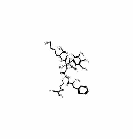 Bc1c(B)c(B)c(C(B)(B)[C@](B)(NC(=O)[C@@H](CCCNC(=N)N)NC(=O)[C@@H](N)Cc2ccccc2)C(=O)N[C@@H](CCCCN)C(N)=O)c(B)c1B